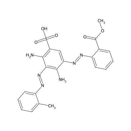 COC(=O)c1ccccc1/N=N/c1cc(S(=O)(=O)O)c(N)c(/N=N/c2ccccc2C)c1N